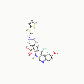 COc1ccc2ncc(N(C)C)c(C(F)CCC3(CC(=O)O)CCN(CCSc4cccs4)CC3)c2c1